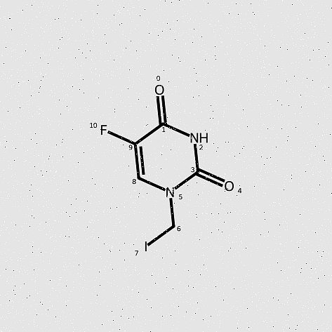 O=c1[nH]c(=O)n(CI)cc1F